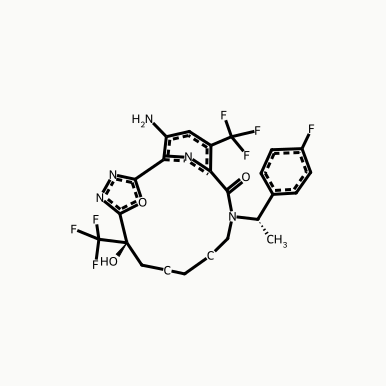 C[C@@H](c1ccc(F)cc1)N1CCCCC[C@](O)(C(F)(F)F)c2nnc(o2)-c2nc(c(C(F)(F)F)cc2N)C1=O